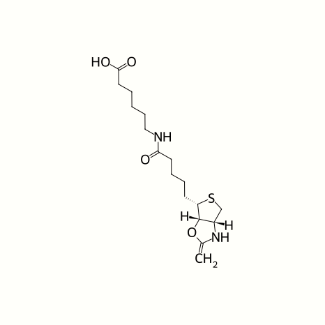 C=C1N[C@H]2CS[C@@H](CCCCC(=O)NCCCCCC(=O)O)[C@H]2O1